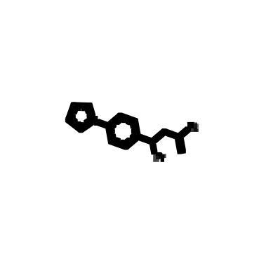 C=C(CC)CC(c1ccc(-n2cccc2)cc1)C(C)C